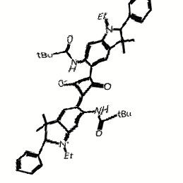 CCN1c2cc(NC(=O)C(C)(C)C)c(C3=C([O-])/C(=c4\cc5c(cc4NC(=O)C(C)(C)C)=[N+](CC)C(c4ccccc4)C5(C)C)C3=O)cc2C(C)(C)C1c1ccccc1